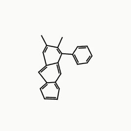 Cc1cc2cc3ccccc3cc2c(-c2ccccc2)c1C